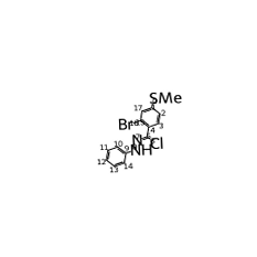 CSc1ccc(C(Cl)=NNc2ccccc2)c(Br)c1